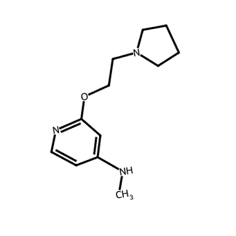 CNc1ccnc(OCCN2CCCC2)c1